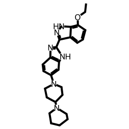 CCOc1cccc2c(-c3nc4ccc(N5CCC(N6CCCCC6)CC5)cc4[nH]3)n[nH]c12